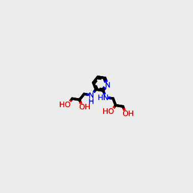 OCC(O)CNc1cccnc1NCC(O)CO